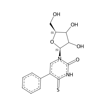 O=c1[nH]c(=S)c(-c2ccccc2)cn1[C@H]1O[C@@H](CO)C(O)C1O